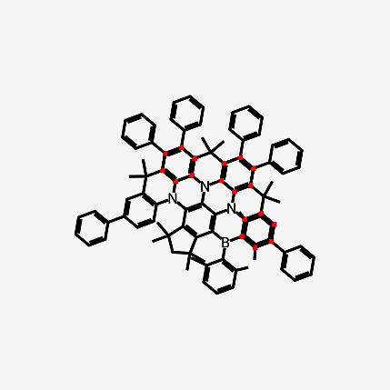 Cc1cccc(C)c1B(c1c(C)cccc1C)c1c(N2c3ccc(-c4ccccc4)cc3C(C)(C)c3cc(-c4ccccc4)ccc32)c(N2c3ccc(-c4ccccc4)cc3C(C)(C)c3cc(-c4ccccc4)ccc32)c(N2c3ccc(-c4ccccc4)cc3C(C)(C)c3cc(-c4ccccc4)ccc32)c2c1C(C)(C)CC2(C)C